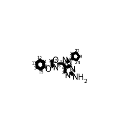 Nc1ncc2c(-c3nc(Oc4ccccc4)co3)nn(C3CCCC3)c2n1